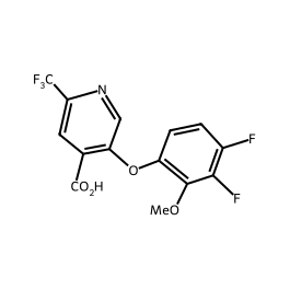 COc1c(Oc2cnc(C(F)(F)F)cc2C(=O)O)ccc(F)c1F